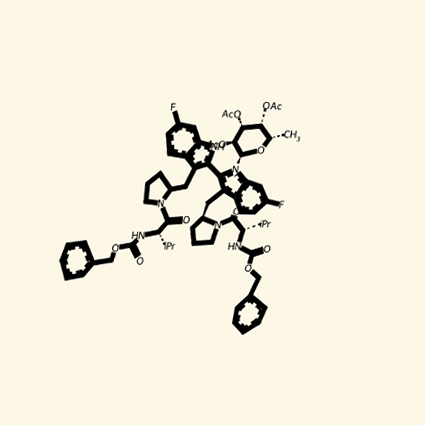 CC(=O)O[C@@H]1[C@H](OC(C)=O)[C@H](C)O[C@H](n2c(-c3[nH]c4cc(F)ccc4c3CC3CCCN3C(=O)[C@@H](NC(=O)OCc3ccccc3)C(C)C)c(C[C@@H]3CCCN3C(=O)[C@@H](NC(=O)OCc3ccccc3)C(C)C)c3ccc(F)cc32)[C@H]1OC(C)=O